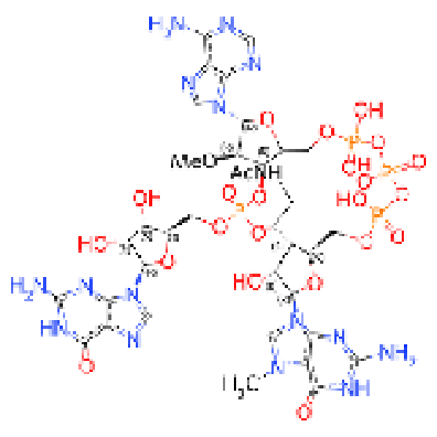 CO[C@@H]1[C@H](OP(=O)([O-])OC[C@H]2O[C@@H](n3cnc4c(=O)[nH]c(N)nc43)[C@H](O)[C@@H]2O)C(COP(=O)(O)OP(=O)(O)OP(=O)(O)OC[C@H]2O[C@@H](n3c[n+](C)c4c(=O)[nH]c(N)nc43)[C@H](O)[C@@H]2CCNC(C)=O)O[C@H]1n1cnc2c(N)ncnc21